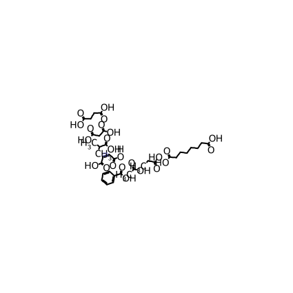 CC(=O)O.CC(C)C(=O)O.CCC(=O)O.O=C(O)/C=C\C(=O)O.O=C(O)CC(=O)O.O=C(O)CCC(=O)O.O=C(O)CCCCCCC(=O)O.O=C(O)c1ccccc1